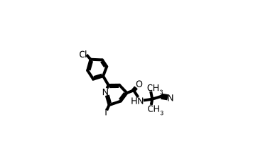 CC(C)(C#N)NC(=O)c1cc(I)nc(-c2ccc(Cl)cc2)c1